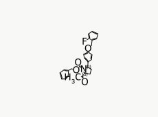 CC(=O)[C@@H]1CC[C@H](c2ccc(OCc3ccccc3F)cc2)N1C(=O)OCc1ccccc1